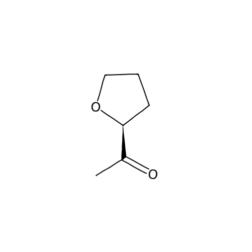 CC(=O)[C@@H]1CCCO1